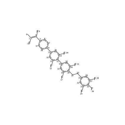 C/C(F)=C(\F)c1ccc(-c2cc(F)c(-c3cc(F)c(CCc4cc(F)c(F)c(F)c4)c(F)c3)c(F)c2)cc1